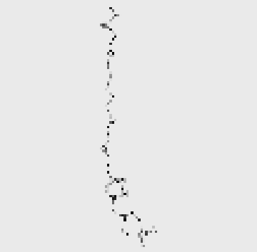 CC(C)NCCOCCOCCOCCOCCn1cc(CN2CCS(=O)(=O)CC2)nn1